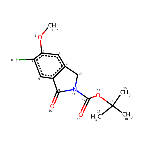 COc1cc2c(cc1F)C(=O)N(C(=O)OC(C)(C)C)C2